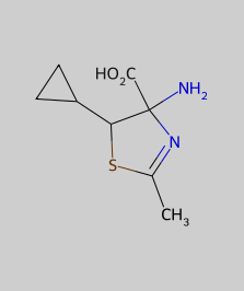 CC1=NC(N)(C(=O)O)C(C2CC2)S1